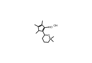 CC1=C(C)C(C)C(C2CCC[Si](C)(C)O2)=C1C.Cl.Cl